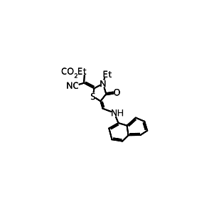 CCOC(=O)C(C#N)=c1sc(=CNc2cccc3ccccc23)c(=O)n1CC